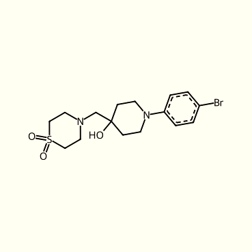 O=S1(=O)CCN(CC2(O)CCN(c3ccc(Br)cc3)CC2)CC1